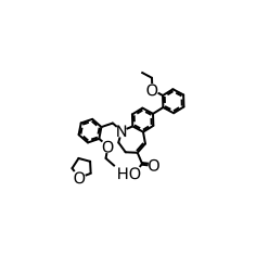 C1CCOC1.CCOc1ccccc1CN1CCC(C(=O)O)=Cc2cc(-c3ccccc3OCC)ccc21